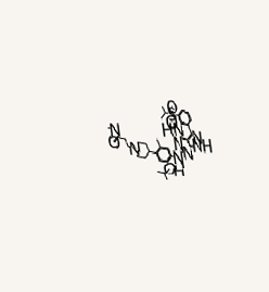 Cc1cc(Nc2nc3c4c(n[nH]c4n2)-c2cccc(S(=O)(=O)C(C)C)c2N3)c(OC(C)C)cc1C1CCN(CCC(=O)N(C)C)CC1